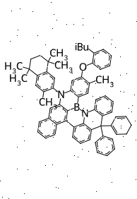 CCC(C)c1ccccc1Oc1cc2c(cc1C)B1c3c(cc4ccccc4c3-c3cccc4c3N1c1ccccc1C4(C1=CCCC=C1)c1ccccc1)N2c1cc2c(cc1C)C(C)(C)CCC2(C)C